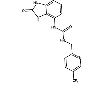 O=C(NCc1ccc(C(F)(F)F)cn1)Nc1cccc2[nH]c(=O)[nH]c12